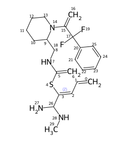 C=C/C=C(\SC(=C)NCC1CCCCN1C(=C)C(F)(F)c1ccccc1)C(N)NC